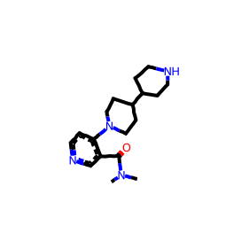 CN(C)C(=O)c1cnccc1N1CCC(C2CCNCC2)CC1